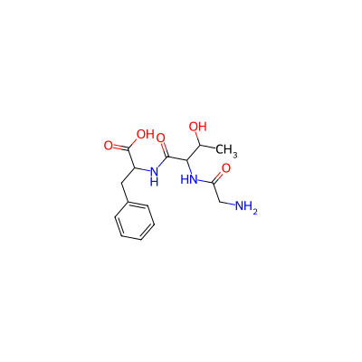 CC(O)C(NC(=O)CN)C(=O)NC(Cc1ccccc1)C(=O)O